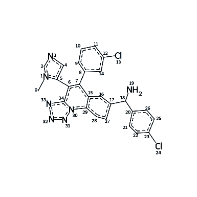 Cn1cncc1-c1c(-c2cccc(Cl)c2)c2cc(C(N)c3ccc(Cl)cc3)ccc2n2nnnc12